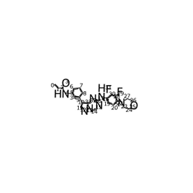 C=CC(=O)Nc1cccc(-c2cnn3cnc(Nc4ccc(N5CCOCC5)c(F)c4F)nc23)c1